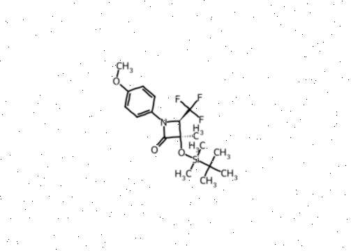 COc1ccc(N2C(=O)[C@](C)(O[Si](C)(C)C(C)(C)C)[C@@H]2C(F)(F)F)cc1